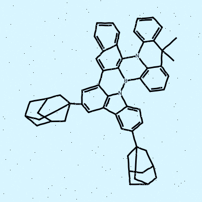 CC1(C)c2ccccc2N2c3c(cccc31)B1c3c(cc4ccccc4c32)-c2cc(C34CC5CC(CC(C5)C3)C4)cc3c4cc(C56CC7CC(CC(C7)C5)C6)ccc4n1c23